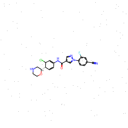 N#Cc1ccc(-n2cc(C(=O)NC3=CC(Cl)C([C@H]4CNCCO4)C=C3)cn2)c(F)c1